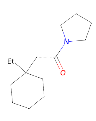 CCC1(CC(=O)N2CCCC2)CCCCC1